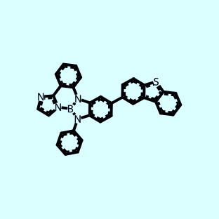 c1ccc(N2B3N(c4ccccc4-c4nccn43)c3cc(-c4ccc5sc6ccccc6c5c4)ccc32)cc1